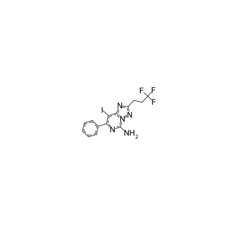 Nc1nc(-c2ccccc2)c(I)c2nc(CCC(F)(F)F)nn12